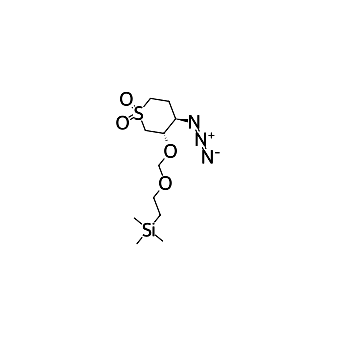 C[Si](C)(C)CCOCO[C@@H]1CS(=O)(=O)CC[C@H]1N=[N+]=[N-]